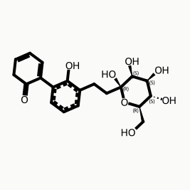 O=C1CC=CC=C1c1cccc(CC[C@@]2(O)O[C@H](CO)[C@@H](O)[C@H](O)[C@@H]2O)c1O